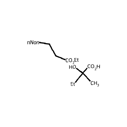 CCC(C)(O)C(=O)O.CCCCCCCCCCCC(=O)OCC